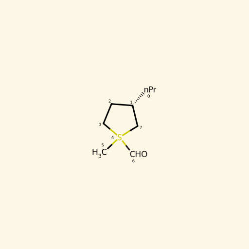 CCC[C@H]1CCS(C)(C=O)C1